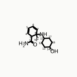 NC(=O)C1C=CC=CC1(F)NC1CCC(O)CC1